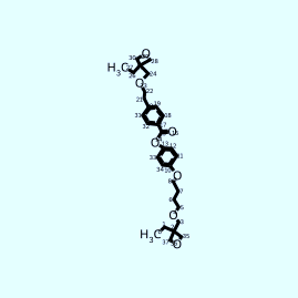 CCC1(COCCCCOc2ccc(OC(=O)c3ccc(CCOCC4(CC)COC4)cc3)cc2)COC1